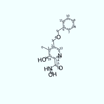 Cc1c(COCc2ccccc2)cnc(C(=O)NO)c1O